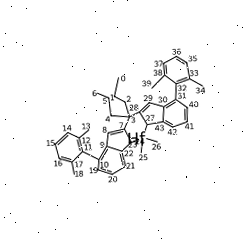 CCCC1(CCC)C2=Cc3c(-c4c(C)cccc4C)cccc3[CH]2[Hf]([CH3])([CH3])[CH]2C1=Cc1c(-c3c(C)cccc3C)cccc12